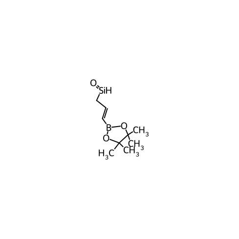 CC1(C)OB(C=CC[SiH]=O)OC1(C)C